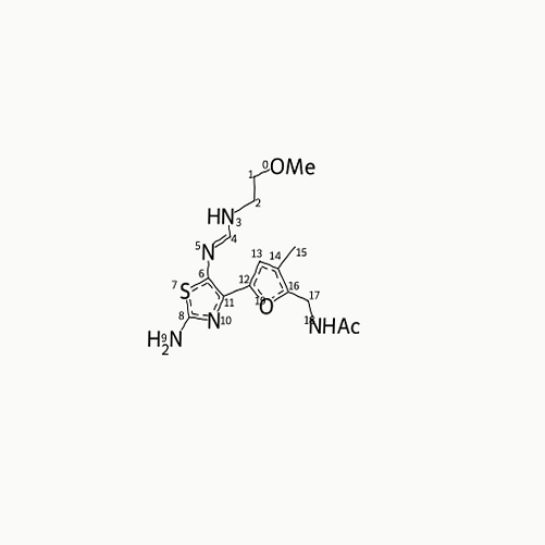 COCCNC=Nc1sc(N)nc1-c1cc(C)c(CNC(C)=O)o1